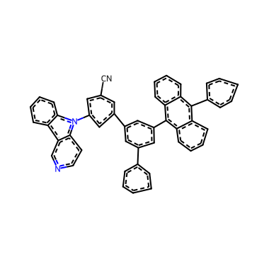 N#Cc1cc(-c2cc(-c3ccccc3)cc(-c3c4ccccc4c(-c4ccccc4)c4ccccc34)c2)cc(-n2c3ccccc3c3cnccc32)c1